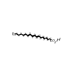 CCC=CCCCCCCCC=CCC=CCCCC(=O)O